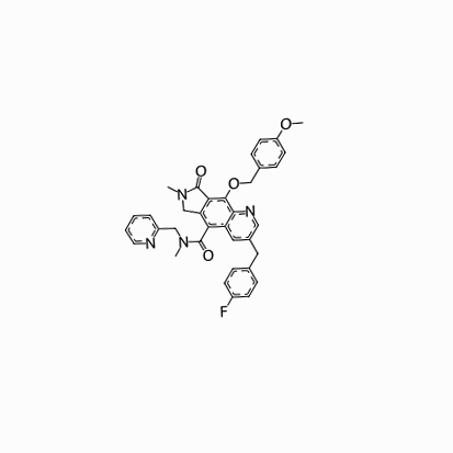 COc1ccc(COc2c3c(c(C(=O)N(C)Cc4ccccn4)c4cc(Cc5ccc(F)cc5)cnc24)CN(C)C3=O)cc1